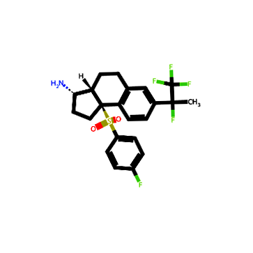 CC(F)(c1ccc2c(c1)CC[C@H]1[C@@H](N)CC[C@@]21S(=O)(=O)c1ccc(F)cc1)C(F)(F)F